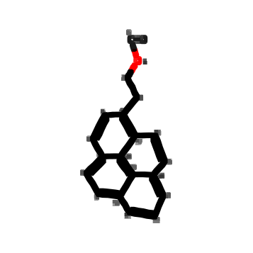 O=COCCc1ccc2ccc3cccc4ccc1c2c34